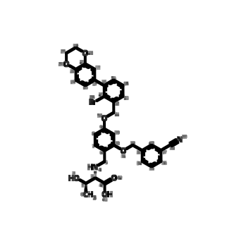 C[C@@H](O)[C@H](NCc1ccc(OCc2cccc(-c3ccc4c(c3)OCCO4)c2Br)cc1OCc1cccc(C#N)c1)C(=O)O